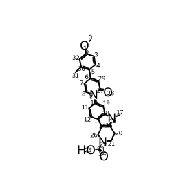 COc1ccc(-c2ccn(-c3ccc4c5c(n(C)c4c3)CCN(C(=O)O)C5)c(=O)c2)c(C)c1